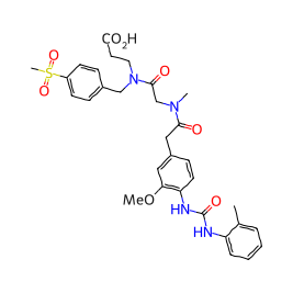 COc1cc(CC(=O)N(C)CC(=O)N(CCC(=O)O)Cc2ccc(S(C)(=O)=O)cc2)ccc1NC(=O)Nc1ccccc1C